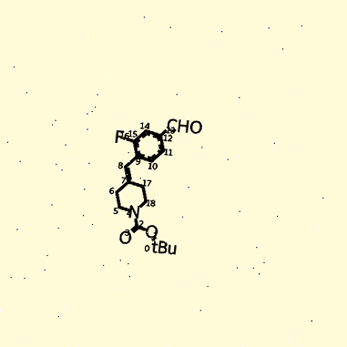 CC(C)(C)OC(=O)N1CCC(=Cc2ccc(C=O)cc2F)CC1